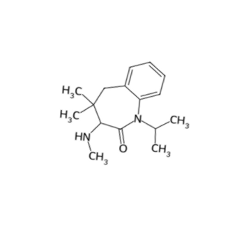 CNC1C(=O)N(C(C)C)c2ccccc2CC1(C)C